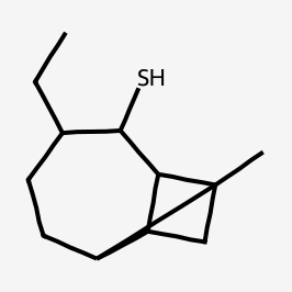 CCC1CCC2C3CC2(C)C3C1S